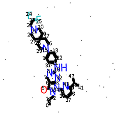 C=CCn1c(=O)c2cnc(Nc3ccc(N4CCC5(CCN(CC(F)F)CC5)CC4)cc3)nc2n1-c1cccc(C(C)C)n1